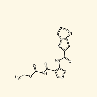 CCOC(=O)NC(=O)c1ccsc1NC(=O)c1cn2ncccc2n1